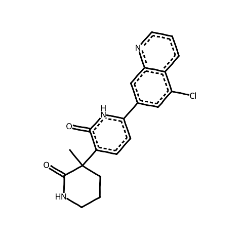 CC1(c2ccc(-c3cc(Cl)c4cccnc4c3)[nH]c2=O)CCCNC1=O